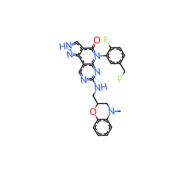 CN1CC(CNc2ncc3c4n[nH]cc4c(=O)n(-c4cc(CF)ccc4F)c3n2)Oc2ccccc21